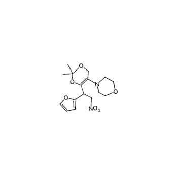 CC1(C)OCC(N2CCOCC2)=C(C(C[N+](=O)[O-])c2ccco2)O1